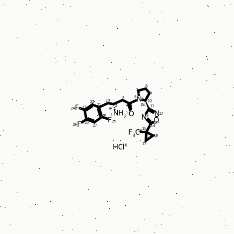 Cl.N[C@@H](CC(=O)N1CCC[C@H]1c1noc(C2(C(F)(F)F)CC2)n1)Cc1cc(F)c(F)cc1F